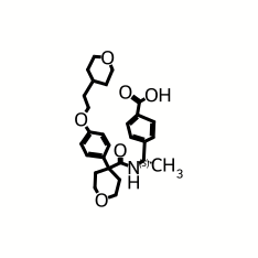 C[C@H](NC(=O)C1(c2ccc(OCCC3CCOCC3)cc2)CCOCC1)c1ccc(C(=O)O)cc1